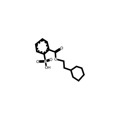 O=C(OCCC1CCCCC1)c1ccccc1S(=O)(=O)O